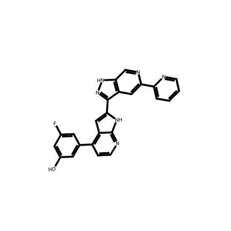 Oc1cc(F)cc(-c2ccnc3[nH]c(-c4n[nH]c5cnc(-c6ccccn6)cc45)cc23)c1